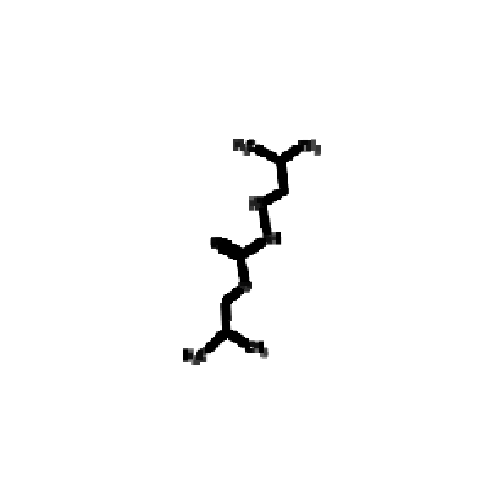 CC(C)CNNC(=O)OCC(C)C